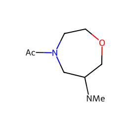 CNC1COCCN(C(C)=O)C1